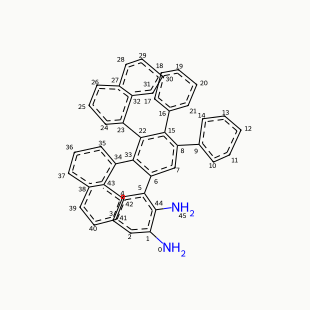 Nc1cccc(-c2cc(-c3ccccc3)c(-c3ccccc3)c(-c3cccc4ccccc34)c2-c2cccc3ccccc23)c1N